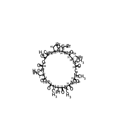 CC(C)C[C@@H]1C(=O)NC(=O)N(C)C(C(C)C)C(=O)N(C)C(=O)NC(=O)N(C)CC(=O)N(C)[C@@H](CC(C)C)C(=O)N[C@H](CC(C)C)N(C)[C@H](CC(C)C)N[C@H](C)C(=O)OC(=O)N1C